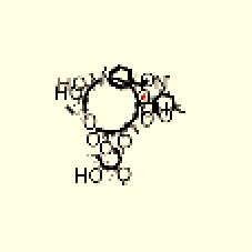 CC[C@H]1OC(=O)[C@H](C)[C@@H](O[C@H]2C[C@@](C)(OC)[C@@H](O)[C@H](C)O2)[C@H](C)[C@@H](O[C@@H]2O[C@H](C)C[C@H](N(C)C)[C@H]2OC(=O)c2ccccc2)[C@](C)(O)C[C@@H](C)CN(C)[C@H](C)[C@@H](O)[C@]1(C)O